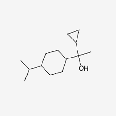 CC(C)C1CCC(C(C)(O)C2CC2)CC1